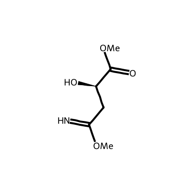 COC(=N)C[C@@H](O)C(=O)OC